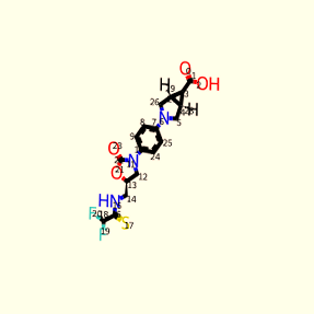 O=C(O)C1[C@H]2CN(c3ccc(N4C[C@@H](CNC(=S)C(F)F)OC4=O)cc3)C[C@@H]12